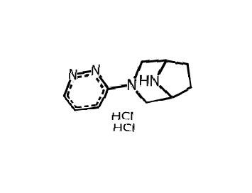 Cl.Cl.c1cnnc(N2CC3CCC(C2)N3)c1